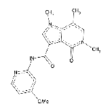 COc1ccnc(NC(=O)c2cn(C)c3c(C)cn(C)c(=O)c23)c1